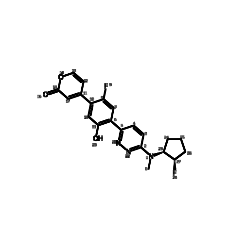 CN(c1ccc(-c2cc(F)c(-c3ccoc(=O)c3)cc2O)nn1)[C@H]1CCC[C@H]1F